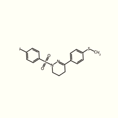 CSc1ccc(C2=NN(S(=O)(=O)c3ccc(I)cc3)CCC2)cc1